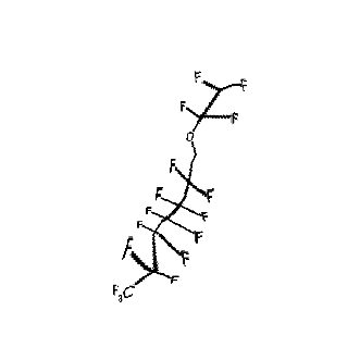 FC(F)C(F)(F)OCC(F)(F)C(F)(F)C(F)(F)C(F)(F)C(F)(F)C(F)(F)F